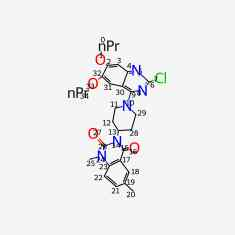 CCCOc1cc2nc(Cl)nc(N3CCC(n4c(=O)c5cc(C)ccc5n(C)c4=O)CC3)c2cc1OCCC